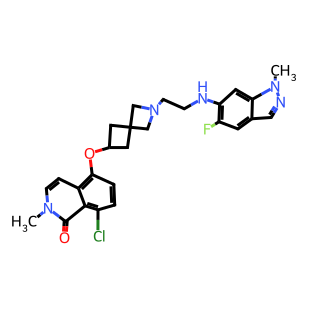 Cn1ccc2c(OC3CC4(C3)CN(CCNc3cc5c(cnn5C)cc3F)C4)ccc(Cl)c2c1=O